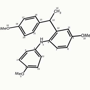 COc1ccc(Nc2ccc(OC)cc2C(C)c2ccc(OC)cc2)cc1